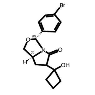 O=C1C(C2(O)CCC2)C[C@H]2CO[C@H](c3ccc(Br)cc3)N12